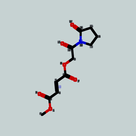 COC(=O)/C=C/C(=O)OCC(=O)N1CCCC1=O